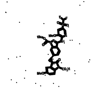 COc1ccc2c(c1)[C@]1(C[C@H]1c1ccc3c(Nc4ncc(S(=O)(=O)C(F)F)cc4OC)nn(C(=O)OC(C)(C)C)c3c1)C(=O)N2C(=O)O